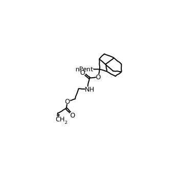 C=CC(=O)OCCNC(=O)OC1(CCCCC)C2CC3CC(C2)CC1C3